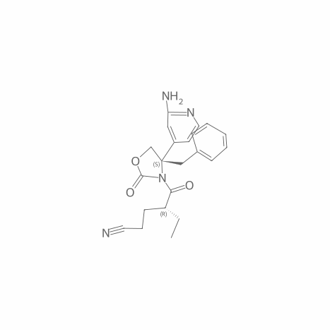 CC[C@H](CCC#N)C(=O)N1C(=O)OC[C@]1(Cc1ccccc1)c1ccnc(N)c1